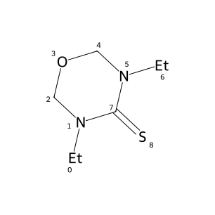 CCN1COCN(CC)C1=S